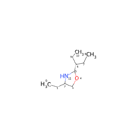 CCC1COC(C(CC)CC)N1